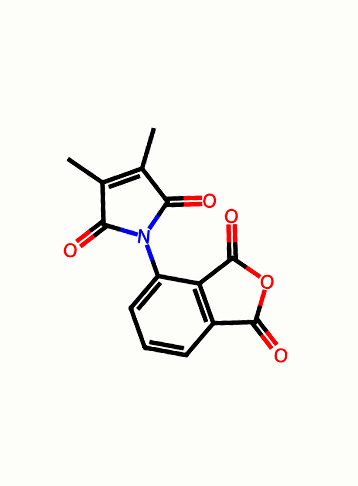 CC1=C(C)C(=O)N(c2cccc3c2C(=O)OC3=O)C1=O